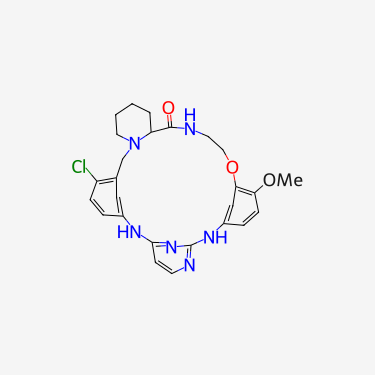 COc1ccc2cc1OCCNC(=O)C1CCCCN1Cc1cc(ccc1Cl)Nc1ccnc(n1)N2